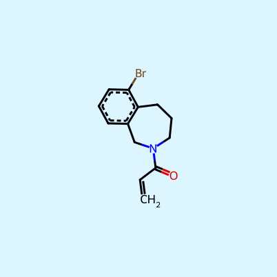 C=CC(=O)N1CCCc2c(Br)cccc2C1